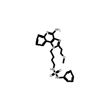 COCCc1nc2c(N)nc3ccccc3c2n1CCCCNS(=O)(=O)Nc1ccccc1